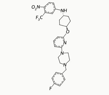 O=[N+]([O-])c1ccc(N[C@H]2CC[C@H](Oc3cccc(N4CCN(Cc5ccc(F)cc5)CC4)n3)CC2)cc1C(F)(F)F